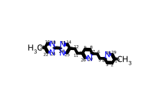 Cc1ccc(CCc2ccc(CCc3cnc(-c4ncc(C)cn4)nc3)cn2)nc1